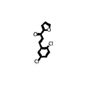 O=C(C=Cc1cc(Cl)ccc1Cl)c1ccco1